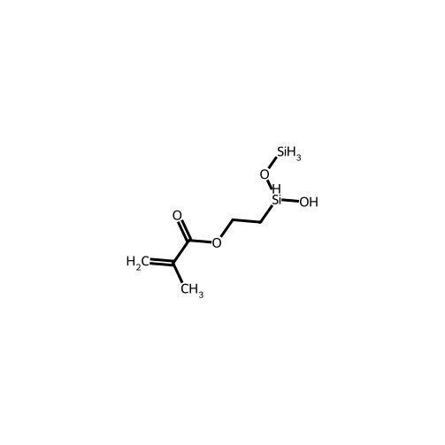 C=C(C)C(=O)OCC[SiH](O)O[SiH3]